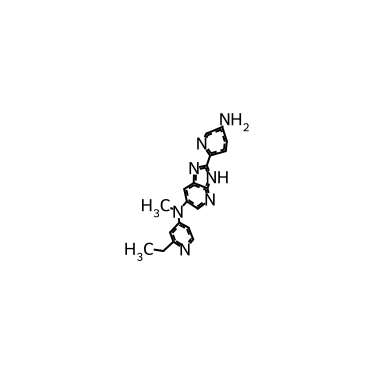 CCc1cc(N(C)c2cnc3[nH]c(-c4ccc(N)cn4)nc3c2)ccn1